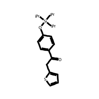 CC(C)[Si](Oc1ccc(C(=O)Cc2cccs2)cc1)(C(C)C)C(C)C